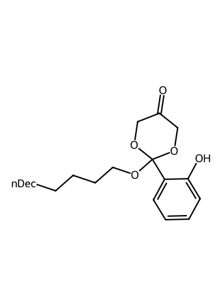 CCCCCCCCCCCCCCOC1(c2ccccc2O)OCC(=O)CO1